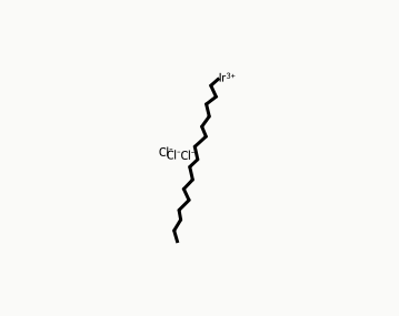 CCCCCCCCCCCCCCC[CH2][Ir+3].[Cl-].[Cl-].[Cl-]